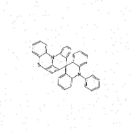 c1ccc(N2c3ccccc3C3(c4ccccc42)c2ccccc2N2c4ccccc4Sc4cccc3c42)cc1